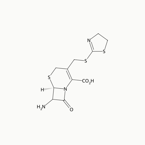 NC1C(=O)N2C(C(=O)O)=C(CSC3=NCCS3)CS[C@H]12